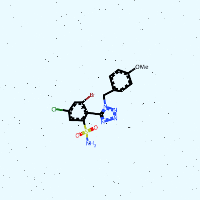 COc1ccc(Cn2nnnc2-c2c(Br)cc(Cl)cc2S(N)(=O)=O)cc1